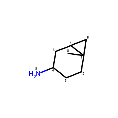 CC12CCC(N)CC1C2